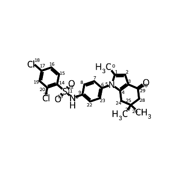 Cc1cc2c(n1-c1ccc(NS(=O)(=O)c3ccc(Cl)cc3Cl)cc1)CC(C)(C)CC2=O